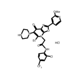 CCc1c(N2CCNCC2)c(=O)c2nc(-c3ccnc(OC)c3)oc2n1CC(=O)Nc1ccc(C(F)(F)F)cc1Cl.Cl